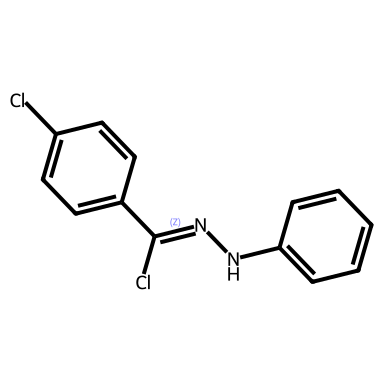 Cl/C(=N\Nc1ccccc1)c1ccc(Cl)cc1